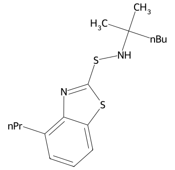 CCCCC(C)(C)NSc1nc2c(CCC)cccc2s1